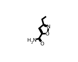 CCc1cc(C(N)=O)on1